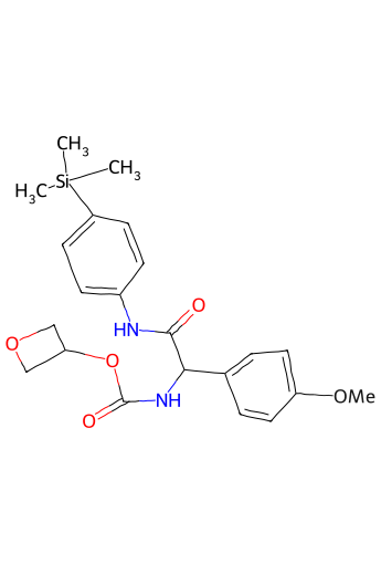 COc1ccc(C(NC(=O)OC2COC2)C(=O)Nc2ccc([Si](C)(C)C)cc2)cc1